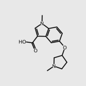 CN1CCC(Oc2ccc3c(c2)c(C(=O)O)cn3C)C1